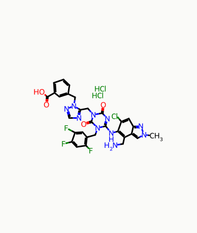 Cl.Cl.Cn1cc2c(CN)c(Nc3nc(=O)n(Cc4ncnn4Cc4cccc(C(=O)O)c4)c(=O)n3Cc3cc(F)c(F)cc3F)c(Cl)cc2n1